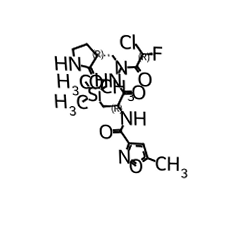 Cc1cc(C(=O)N[C@@H](C[Si](C)(C)C)C(=O)NN(C[C@H]2CCNC2=O)C(=O)[C@H](F)Cl)no1